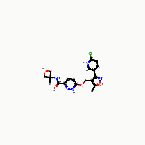 Cc1onc(-c2ccc(Cl)nc2)c1COc1ccc(C(=O)NC2(C)COC2)nn1